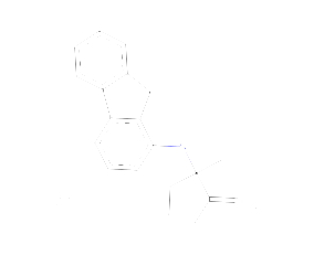 CCC(C)([N-]c1cccc2c1Cc1ccccc1-2)C(C)=[SiH2].[Cl-].[Cl-].[Zr+3]